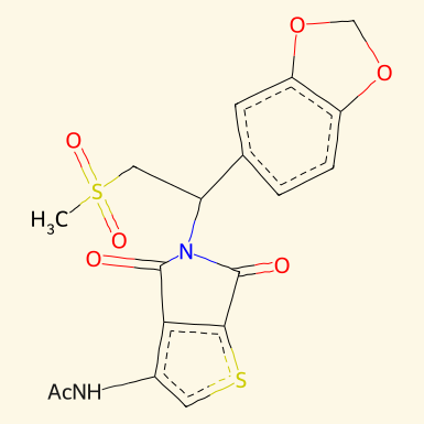 CC(=O)Nc1csc2c1C(=O)N(C(CS(C)(=O)=O)c1ccc3c(c1)OCO3)C2=O